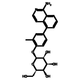 Cc1cc(-c2cccc3c(N)nccc23)ccc1O[C@@H]1O[C@@H](CO)[C@H](O)[C@@H](O)[C@H]1O